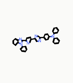 c1ccc(N(c2ccccc2)c2ccc(-c3cnc(-c4ccc(-c5nc6ccccc6n5-c5ccccc5)nc4)cn3)cc2)cc1